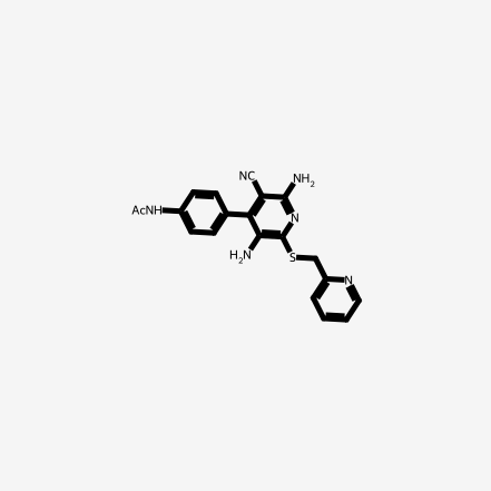 CC(=O)Nc1ccc(-c2c(N)c(SCc3ccccn3)nc(N)c2C#N)cc1